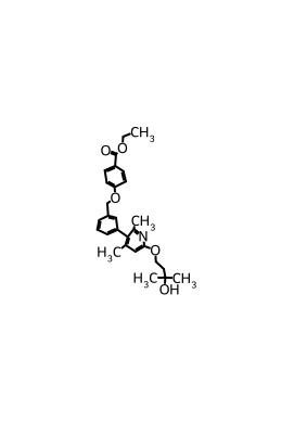 CCOC(=O)c1ccc(OCc2cccc(-c3c(C)cc(OCCC(C)(C)O)nc3C)c2)cc1